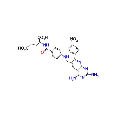 Nc1nc(N)c2cc(CNc3ccc(C(=O)N[C@@H](CCC(=O)O)C(=O)O)cc3)c(-c3ccc([N+](=O)[O-])cc3)nc2n1